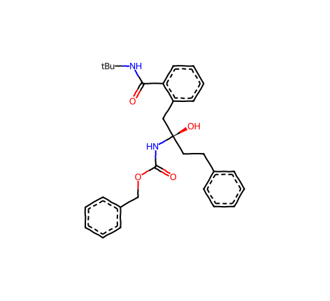 CC(C)(C)NC(=O)c1ccccc1C[C@](O)(CCc1ccccc1)NC(=O)OCc1ccccc1